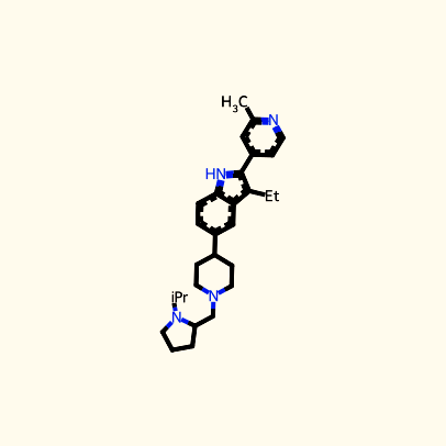 CCc1c(-c2ccnc(C)c2)[nH]c2ccc(C3CCN(CC4CCCN4C(C)C)CC3)cc12